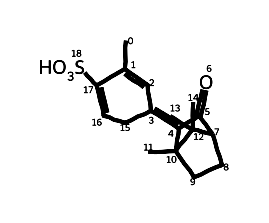 CC1=CC(=C2C(=O)C3CCC2(C)C3(C)C)CC=C1S(=O)(=O)O